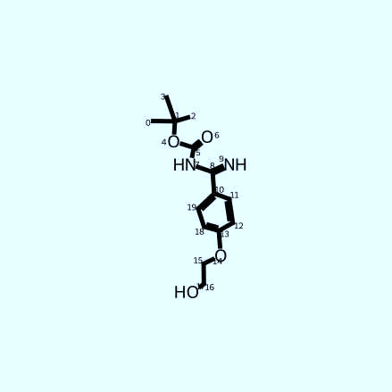 CC(C)(C)OC(=O)NC(=N)c1ccc(OCCO)cc1